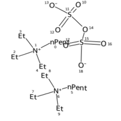 CCCCC[N+](CC)(CC)CC.CCCCC[N+](CC)(CC)CC.O=S(=O)([O-])OS(=O)(=O)[O-]